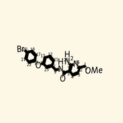 COCc1ccc(C(=O)NCc2cccc(Oc3ccc(Br)cc3)c2)c(N)n1